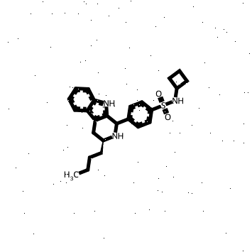 CCCC[C@H]1Cc2c([nH]c3ccccc23)C(c2ccc(S(=O)(=O)NC3CCC3)cc2)N1